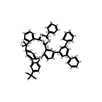 CC(C)(C)c1ccc2c(c1)c1cc3ccc1n2-c1ccc(-c2cc(-c4ccccc4)cc(-c4ccccc4)c2)cc1-c1nc(-c2ccccc2)nc(n1)-c1ccccc1C3(C)C